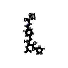 CC(C)C[C@@H](NCc1ccc(/C=C/C(=O)NO)cc1)C(=O)OC1CCCC1